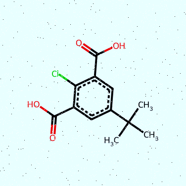 CC(C)(C)c1cc(C(=O)O)c(Cl)c(C(=O)O)c1